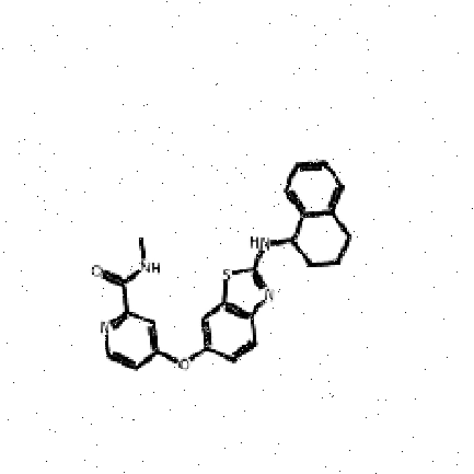 CNC(=O)c1cc(Oc2ccc3nc(NC4CCCc5ccccc54)sc3c2)ccn1